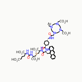 CC(=O)CN1CCN(CC(=O)O)CCN(CC(=O)O)CCN(CC(=O)NC[C@H]2CC[C@H](C(=O)N[C@@H](Cc3c4ccccc4cc4ccccc34)C(=O)N[C@@H](CSC[C@H](NC(=O)N[C@@H](CCCC(=O)O)C(=O)O)C(=O)O)C(=O)O)CC2)CC1